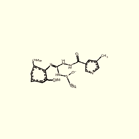 COc1cccc(OC)c1/N=C(/NNC(=O)c1cncc(C)c1)N[S+]([O-])C(C)(C)C